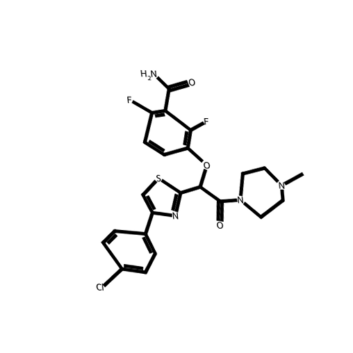 CN1CCN(C(=O)C(Oc2ccc(F)c(C(N)=O)c2F)c2nc(-c3ccc(Cl)cc3)cs2)CC1